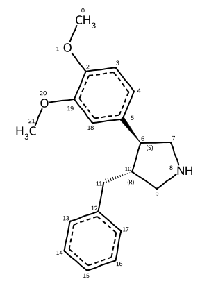 COc1ccc([C@H]2CNC[C@@H]2Cc2ccccc2)cc1OC